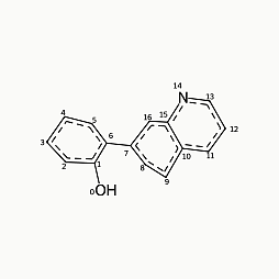 Oc1ccccc1-c1ccc2cccnc2c1